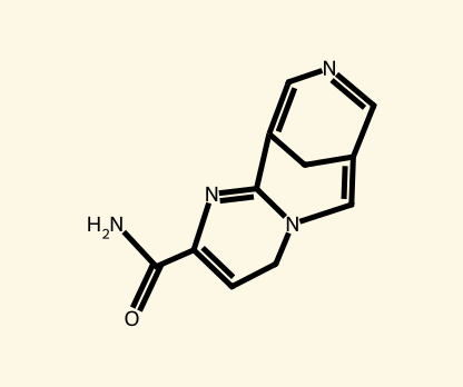 NC(=O)C1=CCN2C=C3C=NC=C(C3)C2=N1